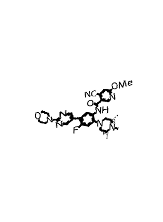 COc1cc(C#N)c(C(=O)Nc2cc(-c3cnc(N4CCOCC4)nc3)c(F)cc2N2C[C@@H](C)N(C)[C@@H](C)C2)cn1